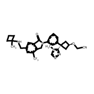 Cn1cnnc1[C@]1(c2cccc(N3Cc4c(cc(CNC5(C)CCC5)cc4C(F)(F)F)C3=O)c2)C[C@@H](OCC#N)C1